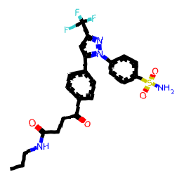 CCCNC(=O)CCC(=O)c1ccc(-c2cc(C(F)(F)F)nn2-c2ccc(S(N)(=O)=O)cc2)cc1